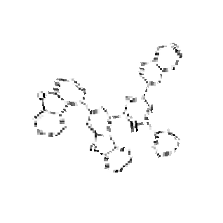 c1ccc(-c2nc(-c3ccc4ccccc4c3)nc(-c3cc(-c4cccc5oc6ccccc6c45)cc4oc5ccccc5c34)n2)cc1